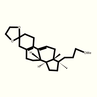 COCCC[C@@]1(C)CC[C@H]2[C@@H]3CCC4=C(CCC5(C4)OCCO5)C3=CC[C@@]21C